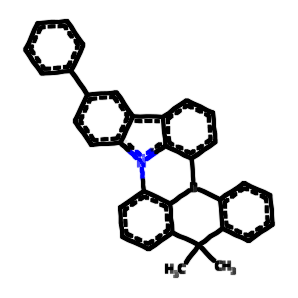 CC1(C)c2ccccc2B2c3c(cccc31)-n1c3ccc(-c4ccccc4)cc3c3cccc2c31